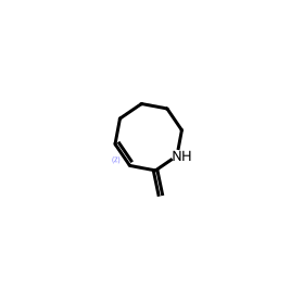 C=C1/C=C\CCCCN1